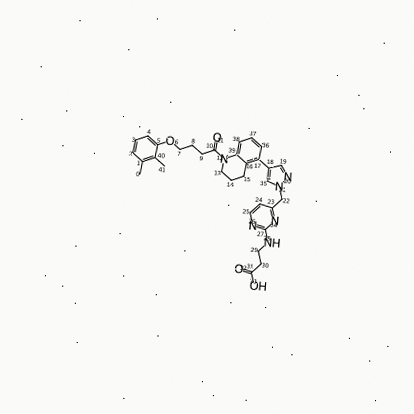 Cc1cccc(OCCCC(=O)N2CCCc3c(-c4cnn(Cc5ccnc(NCCC(=O)O)n5)c4)cccc32)c1C